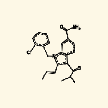 CC=Cc1c(C(=O)C(C)C)c2ccc(C(N)=O)cc2n1Cc1ccccc1Cl